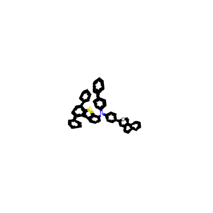 c1ccc(-c2ccc(N(c3ccc(-c4ccc5c(ccc6ccccc65)c4)cc3)c3cccc4c3sc3c(-c5ccccc5)ccc(-c5ccccc5)c34)cc2)cc1